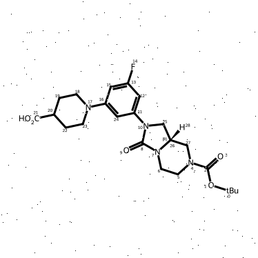 CC(C)(C)OC(=O)N1CCN2C(=O)N(c3cc(F)cc(N4CCC(C(=O)O)CC4)c3)C[C@@H]2C1